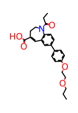 CCCOCCOc1ccc(-c2ccc3c(c2)C=C(C(=O)O)CCN3C(=O)CC)cc1